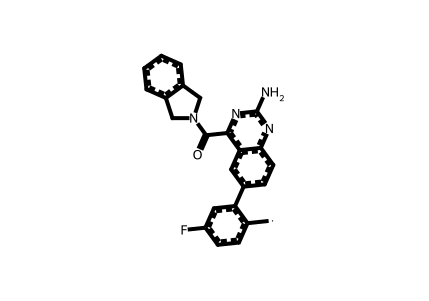 [CH2]c1ccc(F)cc1-c1ccc2nc(N)nc(C(=O)N3Cc4ccccc4C3)c2c1